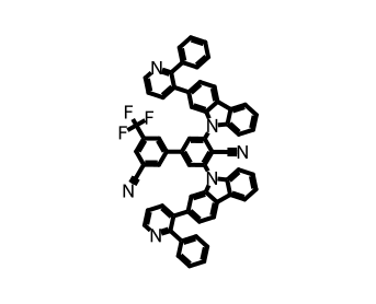 N#Cc1cc(-c2cc(-n3c4ccccc4c4ccc(-c5cccnc5-c5ccccc5)cc43)c(C#N)c(-n3c4ccccc4c4ccc(-c5cccnc5-c5ccccc5)cc43)c2)cc(C(F)(F)F)c1